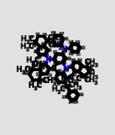 Cc1cc2c(cc1N1c3cc4c(cc3B3c5ccc(C(C)(C)c6ccccc6)cc5N(c5ccc6c(c5C)C(C)(C)CC6(C)C)c5cc(N(c6ccccc6)c6ccccc6)cc1c53)C(C)(C)CCC4(C)C)C(C)(C)CCC2(C)C